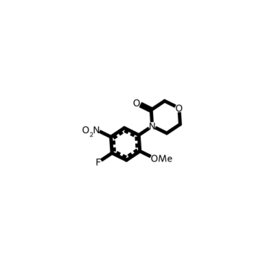 COc1cc(F)c([N+](=O)[O-])cc1N1CCOCC1=O